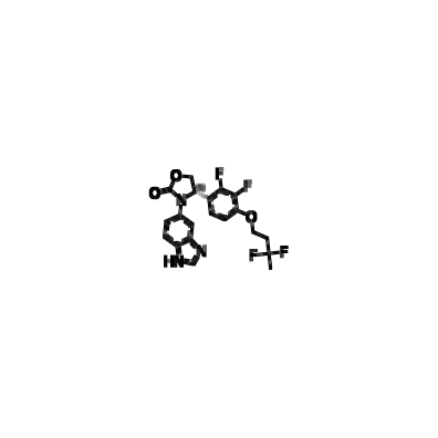 CC(F)(F)CCOc1ccc([C@H]2COC(=O)N2c2ccc3[nH]cnc3c2)c(F)c1F